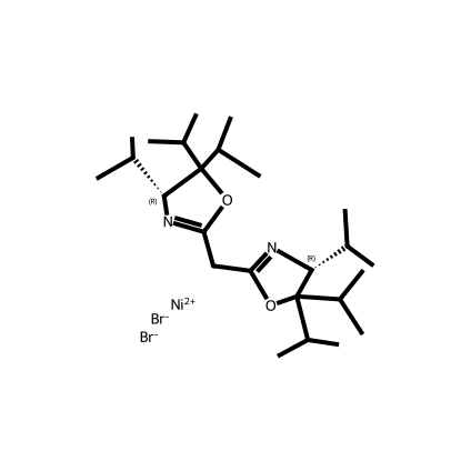 CC(C)[C@H]1N=C(CC2=N[C@H](C(C)C)C(C(C)C)(C(C)C)O2)OC1(C(C)C)C(C)C.[Br-].[Br-].[Ni+2]